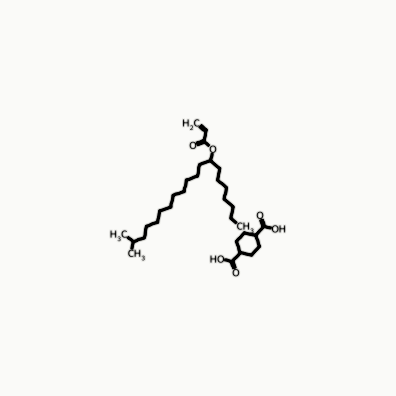 C=CC(=O)OC(CCCCCCC)CCCCCCCCCCC(C)C.O=C(O)C1CCC(C(=O)O)CC1